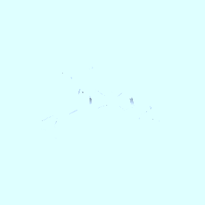 C[C@H](CO)Nc1nc(Nc2ccc(S(C)(=N)=O)cc2)ncc1C#Cc1ccnc(O)c1